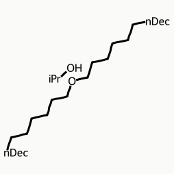 CC(C)O.CCCCCCCCCCCCCCCCOCCCCCCCCCCCCCCCC